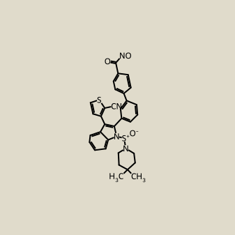 CC1(C)CCN([S+]([O-])n2c(-c3cccc(-c4ccc(C(=O)N=O)cc4)c3)c(-c3ccsc3C#N)c3ccccc32)CC1